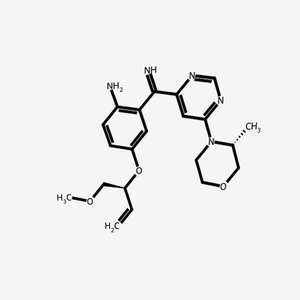 C=C[C@@H](COC)Oc1ccc(N)c(C(=N)c2cc(N3CCOC[C@H]3C)ncn2)c1